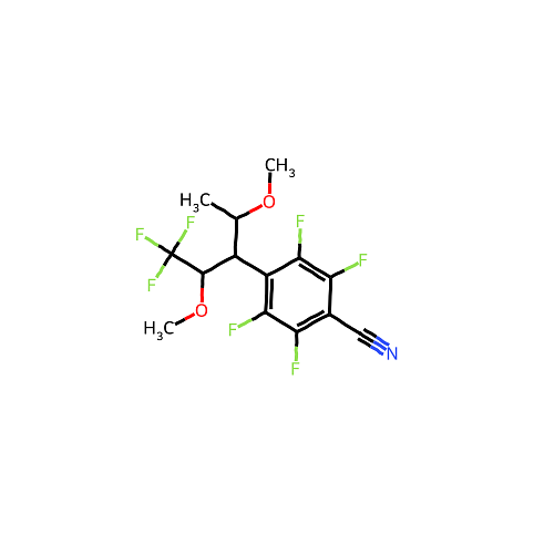 COC(C)C(c1c(F)c(F)c(C#N)c(F)c1F)C(OC)C(F)(F)F